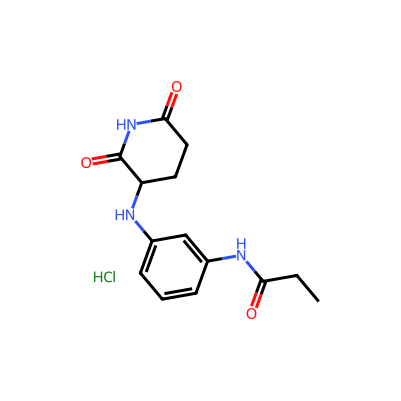 CCC(=O)Nc1cccc(NC2CCC(=O)NC2=O)c1.Cl